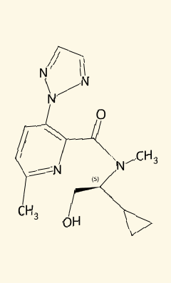 Cc1ccc(-n2nccn2)c(C(=O)N(C)[C@H](CO)C2CC2)n1